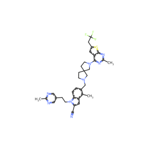 Cc1ncc(CCn2c(C#N)cc3c(C)c(CN4CCC5(CCN(c6nc(C)nc7sc(CC(F)(F)F)cc67)C5)C4)ccc32)cn1